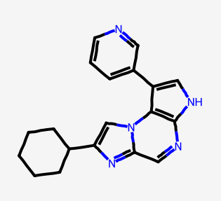 c1cncc(-c2c[nH]c3ncc4nc(C5CCCCC5)cn4c23)c1